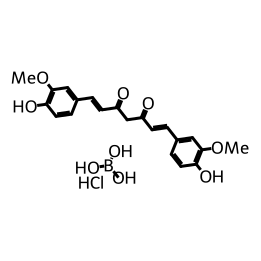 COc1cc(/C=C/C(=O)CC(=O)/C=C/c2ccc(O)c(OC)c2)ccc1O.Cl.OB(O)O